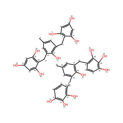 Cc1cc(Cc2c(O)cc(O)cc2O)c(O)c(Cc2c(O)cc(O)cc2O)c1.Cc1cc(Cc2ccc(O)c(O)c2O)c(O)c(Cc2ccc(O)c(O)c2O)c1